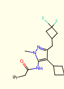 CC(C)CC(=O)Nc1c(C2CCC2)c(CC2CC(F)(F)C2)nn1C